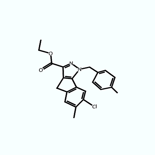 CCOC(=O)c1nn(Cc2ccc(C)cc2)c2c1Cc1cc(C)c(Cl)cc1-2